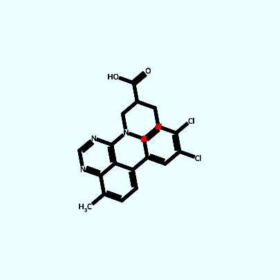 Cc1ccc(-c2ccc(Cl)c(Cl)c2)c2c(N3CCCC(C(=O)O)C3)ncnc12